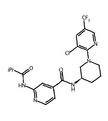 CC(C)C(=O)Nc1cc(C(=O)N[C@@H]2CCCN(c3ncc(C(F)(F)F)cc3Cl)C2)ccn1